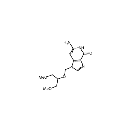 COCC(COC)OCn1cnc2c(=O)[nH]c(N)nc21